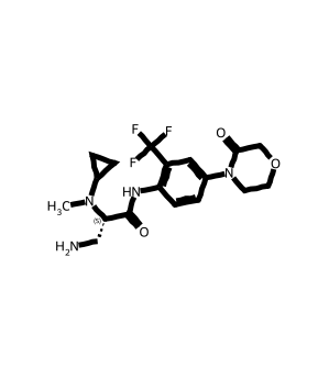 CN(C1CC1)[C@@H](CN)C(=O)Nc1ccc(N2CCOCC2=O)cc1C(F)(F)F